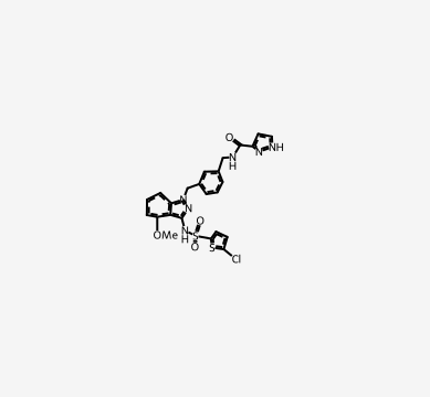 COc1cccc2c1c(NS(=O)(=O)c1ccc(Cl)s1)nn2Cc1cccc(CNC(=O)c2cc[nH]n2)c1